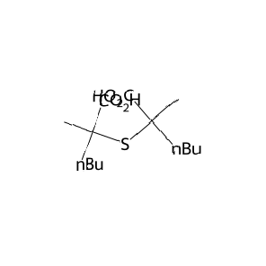 CCCCC(C)(SC(C)(CCCC)C(=O)O)C(=O)O